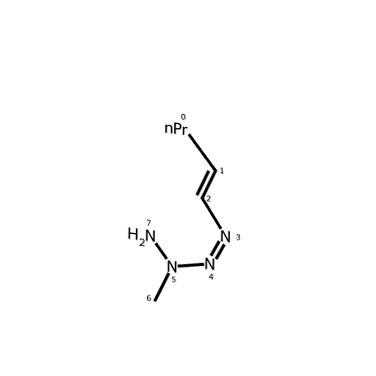 CCC/C=C/N=N\N(C)N